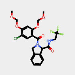 COCOc1cc(OCOC)c(C(=O)N2Cc3ccccc3C2C(=O)NCC(F)(F)F)cc1Cl